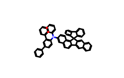 c1ccc(-c2ccc(N(c3ccccc3)c3ccc4c5c(ccc4c3)-c3cc4ccccc4cc3C53c4ccccc4-c4ccccc43)c(-c3ccccc3)c2)cc1